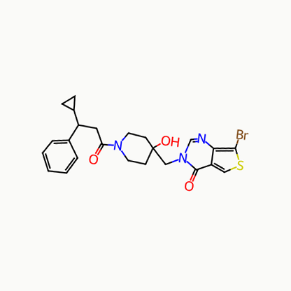 O=C(CC(c1ccccc1)C1CC1)N1CCC(O)(Cn2cnc3c(Br)scc3c2=O)CC1